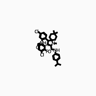 CC(C)c1ccc(NC(=O)C2[C@H](c3cccc(Cl)c3F)C(c3ccc(Cl)cc3NC=O)C3(CCC(C)(C)CC3)N2C)cc1